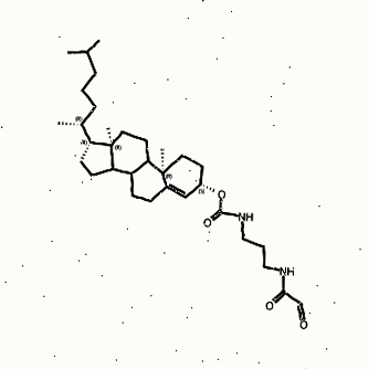 CC(C)CCC[C@@H](C)[C@H]1CCC2C3CCC4=C[C@@H](OC(=O)NCCCNC(=O)C=O)CC[C@]4(C)C3CC[C@@]21C